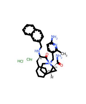 Cc1nc(N)ccc1C[N+]1(C(=O)[C@@H](CC2CCCCC2)NCc2ccc3ccccc3c2)CCC[C@@H]2C[C@@]21C(N)=O.Cl.Cl